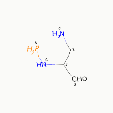 NCC(C=O)NP